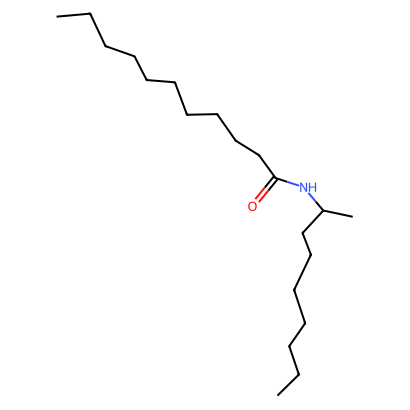 CCCCCCCCCCC(=O)NC(C)CCCCCCC